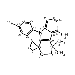 CC1(C)COC2(CCC2)c2c1c1c(O)cccc1n2-c1ccc(F)cc1